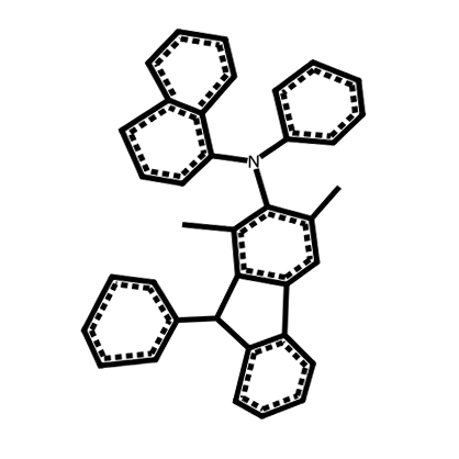 Cc1cc2c(c(C)c1N(c1ccccc1)c1cccc3ccccc13)C(c1ccccc1)c1ccccc1-2